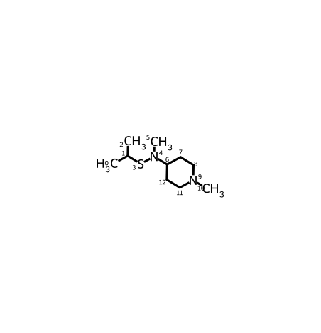 CC(C)SN(C)C1CCN(C)CC1